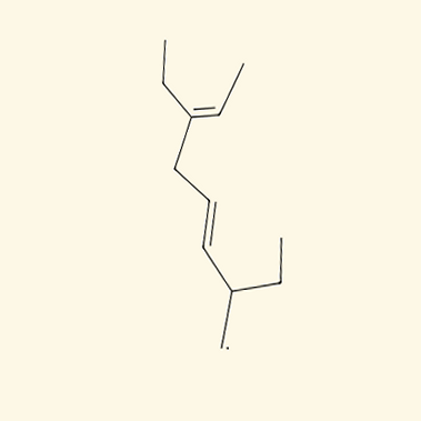 [CH2]C(C=CCC(=CC)CC)CC